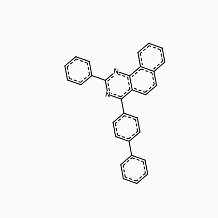 c1ccc(-c2ccc(-c3nc(-c4ccccc4)nc4c3ccc3ccccc34)cc2)cc1